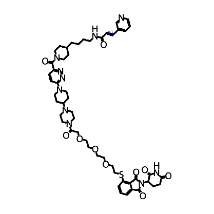 O=C(/C=C/c1cccnc1)NCCCCC1CCN(C(=O)c2ccc(N3CCC(N4CCN(C(=O)COCCOCCOCCSc5cccc6c5C(=O)N(C5CCC(=O)NC5=O)C6=O)CC4)CC3)nn2)CC1